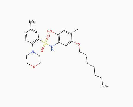 CCCCCCCCCCCCCCCCOc1cc(NS(=O)(=O)c2cc([N+](=O)[O-])ccc2N2CCOCC2)c(O)cc1C